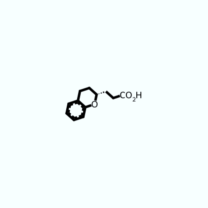 O=C(O)CC[C@H]1CCc2ccccc2O1